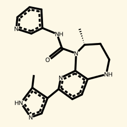 Cc1[nH]ncc1-c1ccc2c(n1)N(C(=O)Nc1cccnc1)[C@H](C)CCN2